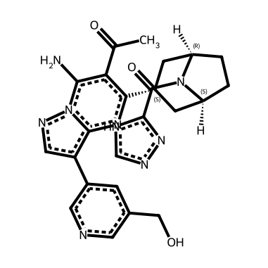 CC(=O)c1c([C@@H]2C[C@H]3CC[C@@H](C2)N3C(=O)c2nnc[nH]2)nc2c(-c3cncc(CO)c3)cnn2c1N